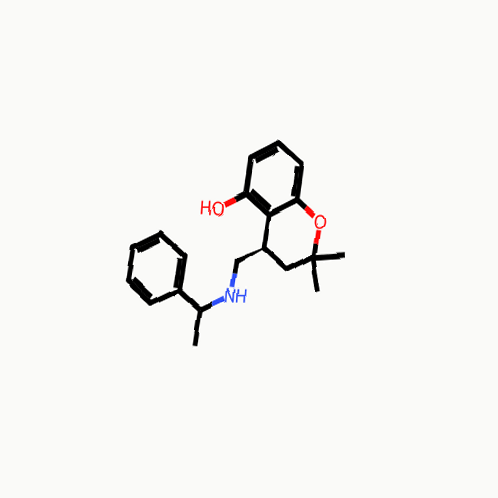 CC(NC[C@@H]1CC(C)(C)Oc2cccc(O)c21)c1ccccc1